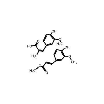 COC(=O)C=Cc1ccc(O)c(OC)c1.COc1cc(C=C(C)C(=O)O)ccc1O